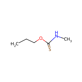 [CH2]CCOC(=S)NC